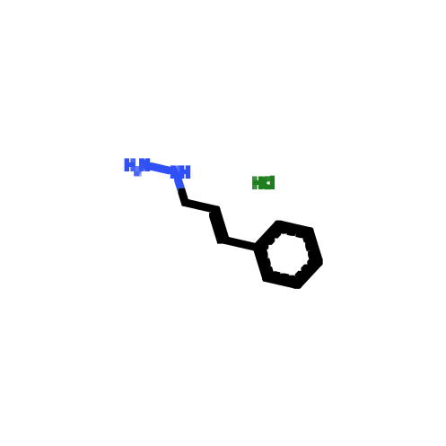 Cl.NNCC=Cc1ccccc1